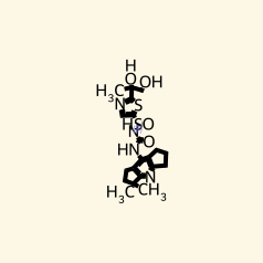 CC1(C)CCc2c1nc1c(c2NC(=O)/N=[SH](=O)/c2cnc(C(C)(O)CO)s2)CCC1